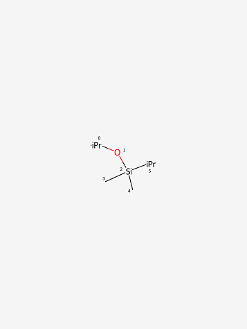 C[C](C)O[Si](C)(C)C(C)C